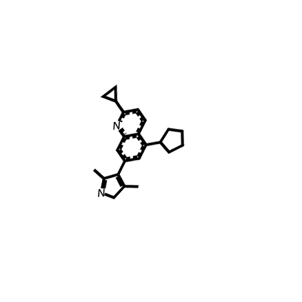 CC1=NCC(C)=C1c1cc(C2CCCC2)c2ccc(C3CC3)nc2c1